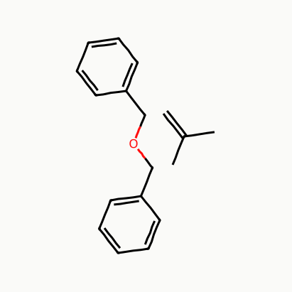 C=C(C)C.c1ccc(COCc2ccccc2)cc1